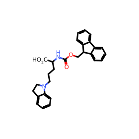 O=C(NC(CCCN1CCc2ccccc21)C(=O)O)OCC1c2ccccc2-c2ccccc21